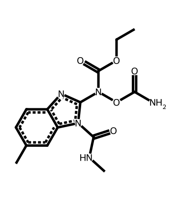 CCOC(=O)N(OC(N)=O)c1nc2ccc(C)cc2n1C(=O)NC